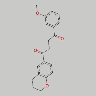 COc1cccc(C(=O)CCC(=O)c2ccc3c(c2)CCCO3)c1